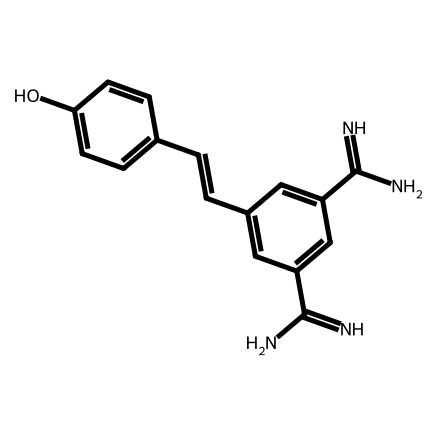 N=C(N)c1cc(C=Cc2ccc(O)cc2)cc(C(=N)N)c1